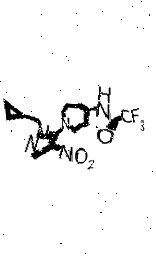 O=C(N[C@@H]1CCCN(c2c([N+](=O)[O-])cnn2CC2CC2)CC1)C(F)(F)F